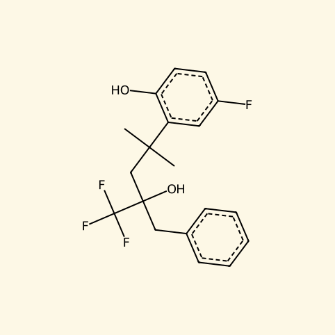 CC(C)(CC(O)(Cc1ccccc1)C(F)(F)F)c1cc(F)ccc1O